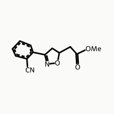 COC(=O)CC1CC(c2ccccc2C#N)=NO1